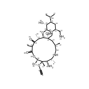 C#CO[C@@]1(C)[C@H](N)[C@@H](C)NC[C@H](C)C[C@@](C)(OC)[C@H](O[C@@H]2O[C@H](CN)C[C@H](N(C)C)[C@H]2O)[C@@H](C)C(=O)C(C)C(=O)O[C@@H]1CC